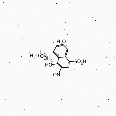 O.O.O.O.O=Nc1cc(S(=O)(=O)O)c2ccccc2c1O